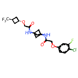 O=C(COc1ccc(Cl)c(F)c1)NC12CC(NC(=O)CO[C@H]3C[C@H](C(F)(F)F)C3)(C1)C2